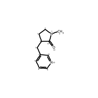 CN1CCC(Cc2cccnc2)C1=O